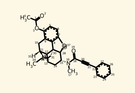 CC(=O)Oc1ccc2c3c1C[C@@H]1[C@@H]4CC[C@@H](N(C)C(=O)C#Cc5ccccc5)[C@H](O2)[C@]34CCN1C